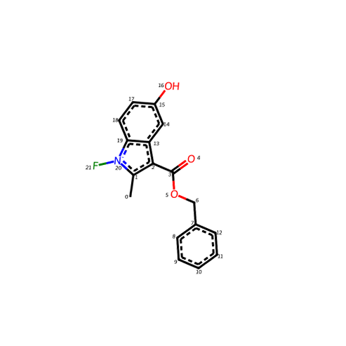 Cc1c(C(=O)OCc2ccccc2)c2cc(O)ccc2n1F